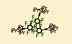 CC(C)[Si](C#Cc1c(F)c(F)c(B(c2c(F)c(F)c(C#C[Si](C(C)C)(C(C)C)C(C)C)c(F)c2F)c2c(F)c(F)c(F)c(C#C[Si](C(C)C)(C(C)C)C(C)C)c2F)c(F)c1F)(C(C)C)C(C)C